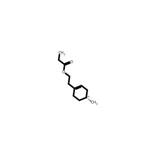 CCC(=O)OCCC1=CC[C@H](C)CC1